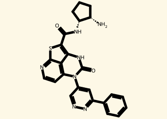 N[C@H]1CCC[C@H]1NC(=O)c1sc2nccc3c2c1NC(=O)N3c1cnnc(-c2ccccc2)c1